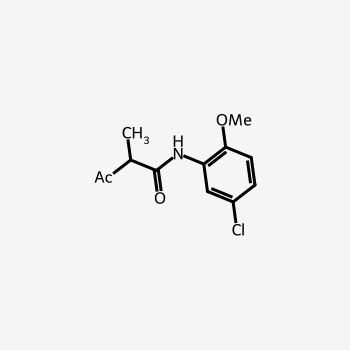 COc1ccc(Cl)cc1NC(=O)C(C)C(C)=O